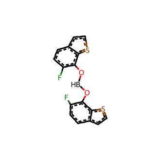 Fc1ccc2ccsc2c1OBOc1c(F)ccc2ccsc12